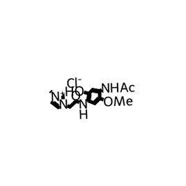 COc1cc(NC(=O)Cn2cc[n+](C)c2)c(O)cc1NC(C)=O.[Cl-]